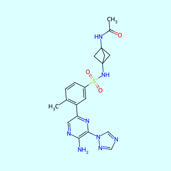 CC(=O)NC12CC(NS(=O)(=O)c3ccc(C)c(-c4cnc(N)c(-n5cncn5)n4)c3)(C1)C2